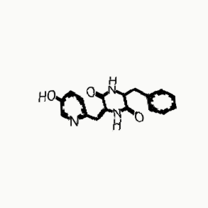 O=C1NC(Cc2ccccc2)C(=O)N/C1=C/c1ccc(O)cn1